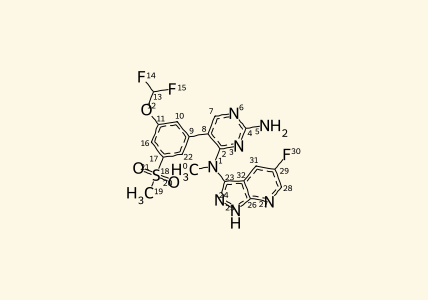 CN(c1nc(N)ncc1-c1cc(OC(F)F)cc(S(C)(=O)=O)c1)c1n[nH]c2ncc(F)cc12